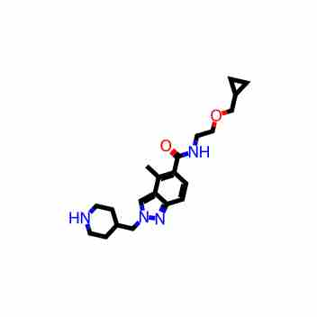 Cc1c(C(=O)NCCOCC2CC2)ccc2nn(CC3CCNCC3)cc12